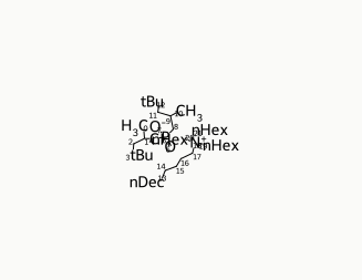 CC(CC(C)(C)C)CP(=O)([O-])CC(C)CC(C)(C)C.CCCCCCCCCCCCCC[N+](CCCCCC)(CCCCCC)CCCCCC